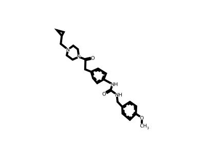 COc1ccc(CNC(=O)Nc2ccc(CC(=O)N3CCN(CC4CC4)CC3)cc2)cc1